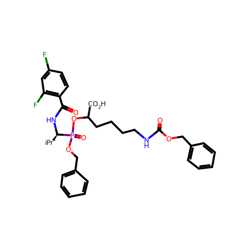 CC(C)[C@@H](NC(=O)c1ccc(F)cc1F)P(=O)(OCc1ccccc1)OC(CCCCNC(=O)OCc1ccccc1)C(=O)O